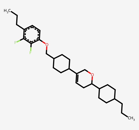 CCCc1ccc(OCC2CCC(C3=CCC(C4CCC(CCC)CC4)OC3)CC2)c(F)c1F